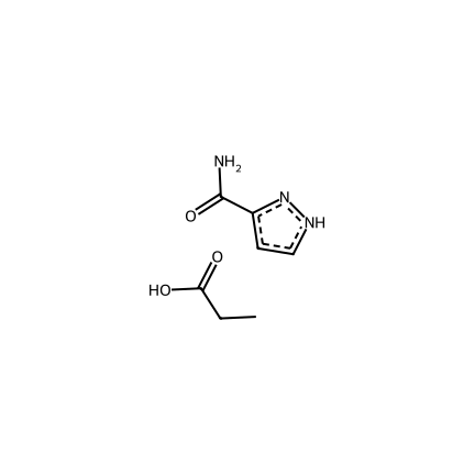 CCC(=O)O.NC(=O)c1cc[nH]n1